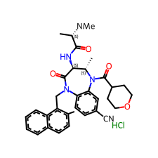 CN[C@@H](C)C(=O)N[C@@H]1C(=O)N(Cc2c(C)ccc3ccccc23)c2ccc(C#N)cc2N(C(=O)C2CCOCC2)[C@H]1C.Cl